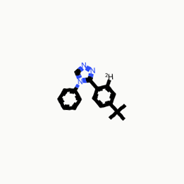 [2H]c1cc(C(C)(C)C)ccc1-c1nncn1-c1ccccc1